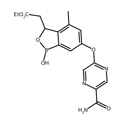 CCOC(=O)CC1OB(O)c2cc(Oc3cnc(C(N)=O)cn3)cc(C)c21